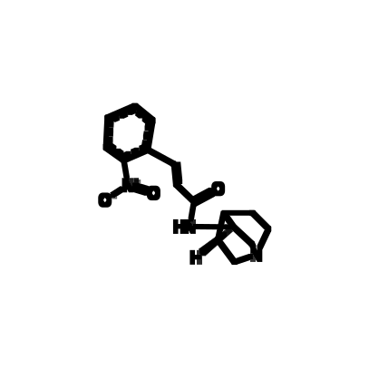 O=C(/C=C/c1ccccc1[N+](=O)[O-])N[C@H]1CN2CCC1CC2